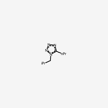 CCCc1nnnn1CC(C)C